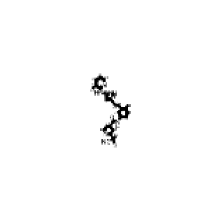 Cc1ccc(NC(=O)c2ccnc(C(C)(C)C#N)c2)cc1CCc1cc(Nc2ncccc2C)[nH]n1